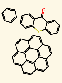 O=c1c2ccccc2sc2ccccc12.c1cc2ccc3ccc4ccc5ccc6ccc1c1c2c3c4c5c61.c1ccccc1